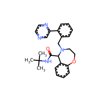 CC(C)(C)NC(=O)C1c2ccccc2OCCN1Cc1ccccc1-c1cnccn1